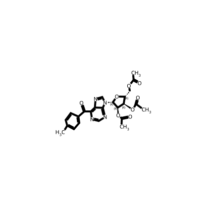 CC(=O)OC[C@H]1O[C@@H](n2cnc3c(C(=O)c4ccc(C)cc4)ncnc32)[C@H](OC(C)=O)[C@@H]1OC(C)=O